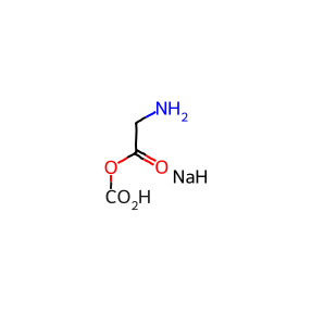 NCC(=O)OC(=O)O.[NaH]